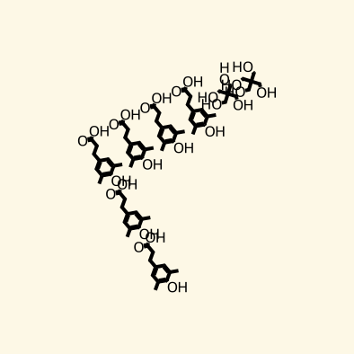 Cc1cc(CCC(=O)O)cc(C)c1O.Cc1cc(CCC(=O)O)cc(C)c1O.Cc1cc(CCC(=O)O)cc(C)c1O.Cc1cc(CCC(=O)O)cc(C)c1O.Cc1cc(CCC(=O)O)cc(C)c1O.Cc1cc(CCC(=O)O)cc(C)c1O.OCC(CO)(CO)CO.OCC(CO)(CO)CO